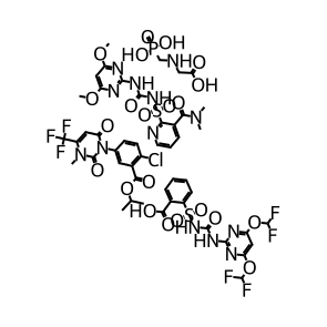 CC(C)OC(=O)c1cc(-n2c(=O)cc(C(F)(F)F)n(C)c2=O)ccc1Cl.COc1cc(OC)nc(NC(=O)NS(=O)(=O)c2ncccc2C(=O)N(C)C)n1.O=C(Nc1nc(OC(F)F)cc(OC(F)F)n1)NS(=O)(=O)c1ccccc1C(=O)O.O=C(O)CNCP(=O)(O)O